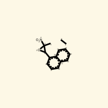 CC.CC1([N+](=O)[O-])OC1c1cccc2ccccc12